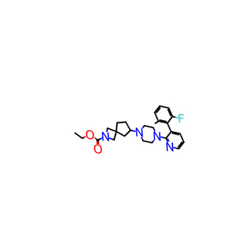 CCOC(=O)N1CC2(CCC(N3CCN(c4ncccc4-c4c(C)cccc4F)CC3)C2)C1